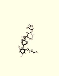 CCOCOc1cc(C)cc(C)c1-c1cnc(N[C@@H]2CCCN(C(C)CO)C2)nn1